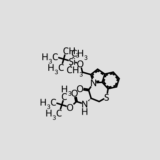 CC(C)(C)OC(=O)N[C@H]1CSc2cccc3cc(CO[Si](C)(C)C(C)(C)C)n(c23)C1=O